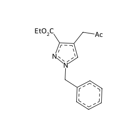 CCOC(=O)c1nn(Cc2ccccc2)cc1CC(C)=O